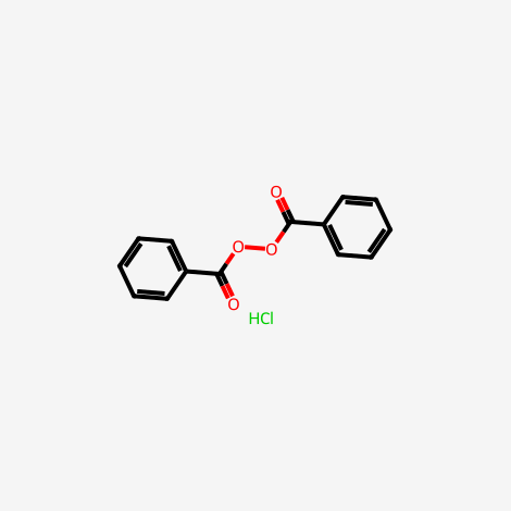 Cl.O=C(OOC(=O)c1ccccc1)c1ccccc1